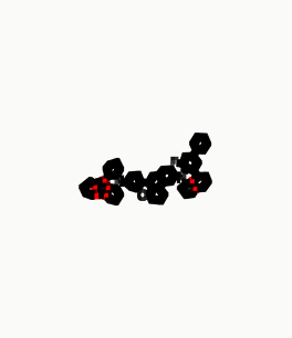 Fc1cc(-c2ccccc2)cc(-c2ccccc2)c1N(c1ccccc1)c1ccc2cc3c4c(cccc4c2c1)Oc1cc(N(c2ccccc2-c2ccccc2)c2cccc4c2oc2ccccc24)ccc1-3